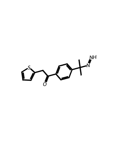 CC(C)(N=N)c1ccc(C(=O)Cc2cccs2)cc1